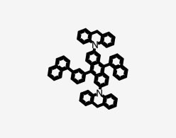 c1cc(-c2cccc3ccccc23)cc(-c2c3cc(N4c5ccccc5Cc5ccccc54)ccc3c(-c3cccc4ccccc34)c3cc(N4c5ccccc5Cc5ccccc54)ccc23)c1